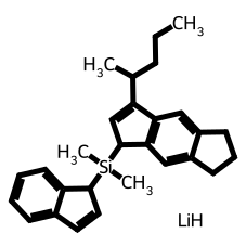 CCCC(C)C1=CC([Si](C)(C)C2C=Cc3ccccc32)c2cc3c(cc21)CCC3.[LiH]